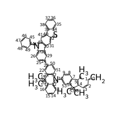 C=C/C=C\C1=C(C)c2ccc(N3c4ccccc4C(C)(C)c4cc(-c5ccc6c(c5)c5cc7sc8ccccc8c7cc5n6-c5ccccc5)ccc43)cc2C1(C)C